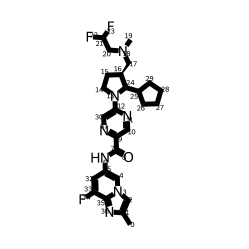 Cc1cn2cc(NC(=O)c3cnc(N4CC[C@@H](CN(C)CC(F)F)C4C4CCCC4)cn3)cc(F)c2n1